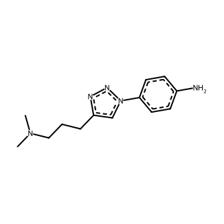 CN(C)CCCc1cn(-c2ccc(N)cc2)nn1